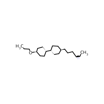 C/C=C\CCC[C@H]1CC[C@H]([C@H]2CC[C@H](OCCC)CC2)CC1